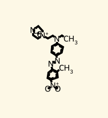 CCN(CC[N+]12CCN(CC1)CC2)c1ccc(N=Nc2ccc([N+](=O)[O-])cc2C)cc1